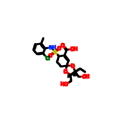 CC[C@]1(CO)OC2(C=C(C(=O)O)C(S(=O)(=O)Nc3c(C)cccc3Cl)CC2)O[C@@H]1CO